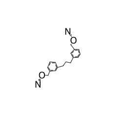 N#COCc1cccc(CCCc2cccc(COC#N)c2)c1